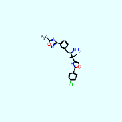 CC(C)(c1coc(-c2ccc(Cl)cc2)n1)C(N)Cc1cccc(-c2noc(C(F)(F)F)n2)c1